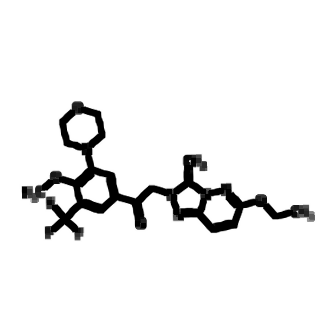 C=C1N(CC(=O)c2cc(N3CCOCC3)c(OC)c(C(F)(F)F)c2)N=C2C=CC(OCC)=NN12